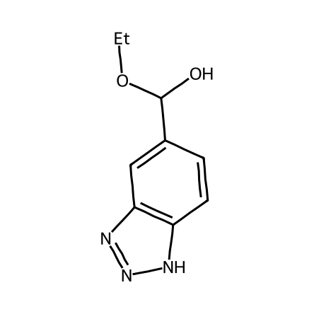 CCOC(O)c1ccc2[nH]nnc2c1